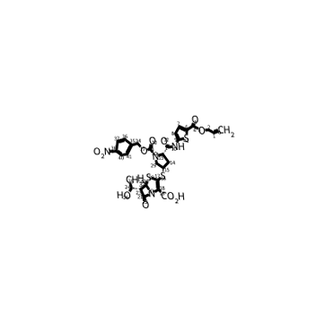 C=CCOC(=O)c1ccc(NC(=O)[C@@H]2C[C@H](SC3=C(C(=O)O)N4C(=O)[C@H](C(C)O)[C@H]4S3)CN2C(=O)OCc2ccc([N+](=O)[O-])cc2)s1